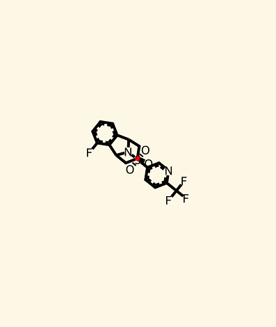 O=C1CC2c3cccc(F)c3C(C1)N2S(=O)(=O)c1ccc(C(F)(F)F)nc1